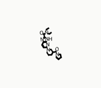 CCN(CC)C(=O)c1nc2ccc(N3CCCC(C(=O)N4CCCC4)C3)nc2[nH]1